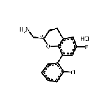 Cl.NC[C@H]1CCc2cc(F)cc(-c3ccccc3Cl)c2O1